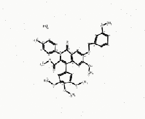 COC(=O)c1c(-c2cc(OC)c(OC)c(OC)c2)c2cc(OC)c(OCc3cccc(OC)c3)cc2c(=O)n1-c1ccc(N)cc1.Cl